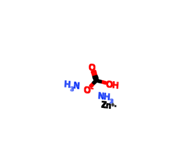 N.N.O=C([O-])O.[Zn+]